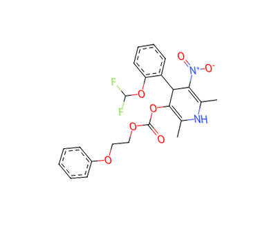 CC1=C(OC(=O)OCCOc2ccccc2)C(c2ccccc2OC(F)F)C([N+](=O)[O-])=C(C)N1